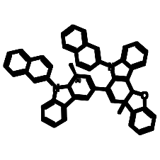 C[C@H]1C=C(C2=CC3(C)c4ccccc4OC3c3c2n(-c2ccc4ccccc4c2)c2ccccc32)C=C2c3ccccc3N(c3ccc4ccccc4c3)C21